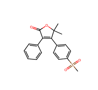 CC1(C)OC(=O)C(c2ccccc2)=C1c1ccc(S(C)(=O)=O)cc1